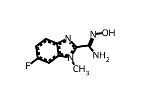 Cn1c(/C(N)=N/O)nc2ccc(F)cc21